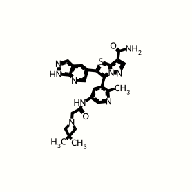 Cc1ncc(NC(=O)CN2CC(C)(C)C2)cc1-c1c(-c2cnc3[nH]ncc3c2)sc2c(C(N)=O)cnn12